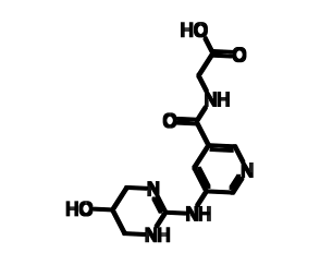 O=C(O)CNC(=O)c1cncc(NC2=NCC(O)CN2)c1